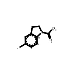 O=C(N1CCc2cc(I)ccc21)C(F)(F)F